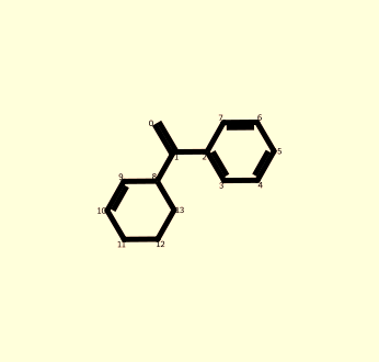 C=C(c1ccccc1)C1C=CCCC1